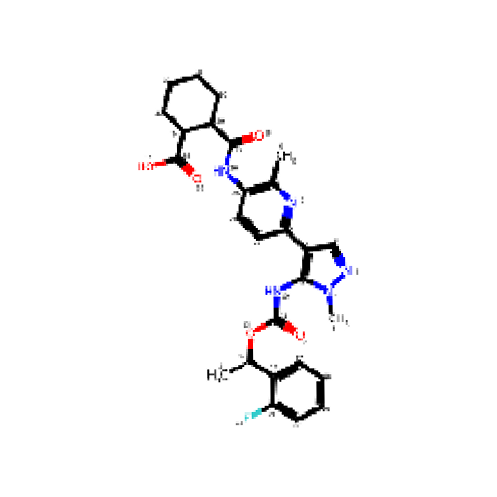 Cc1nc(-c2cnn(C)c2NC(=O)O[C@H](C)c2ccccc2F)ccc1NC(=O)C1CCCCC1C(=O)O